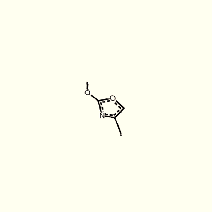 COc1nc(C)co1